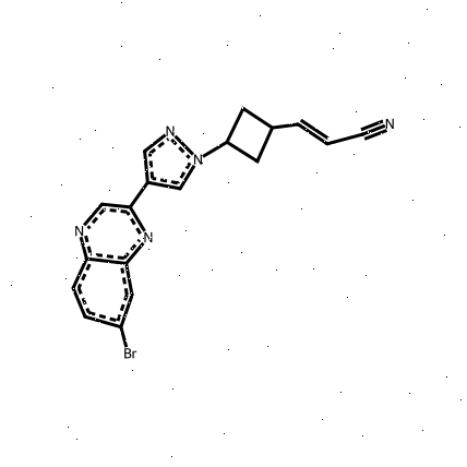 N#CC=CC1CC(n2cc(-c3cnc4ccc(Br)cc4n3)cn2)C1